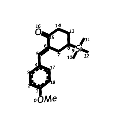 COc1ccc(C=C2CC([Si](C)(C)C)CCC2=O)cc1